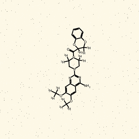 [2H]C([2H])([2H])Oc1cc2nc(N3CC([2H])([2H])N(C(=O)C4([2H])Oc5ccccc5OC4([2H])[2H])C([2H])([2H])C3)nc(N)c2cc1OC([2H])([2H])[2H]